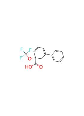 O=C(O)C1(OC(F)(F)F)C=CC=C(c2ccccc2)C1